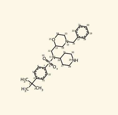 CC(C)(C)c1ccc(S(=O)(=O)N(CC2CN(Cc3ccccc3)CCO2)C2CCNCC2)cc1